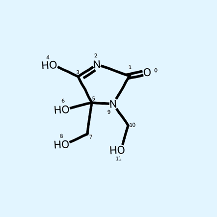 O=C1N=C(O)C(O)(CO)N1CO